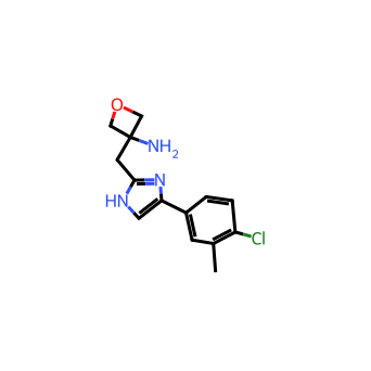 Cc1cc(-c2c[nH]c(CC3(N)COC3)n2)ccc1Cl